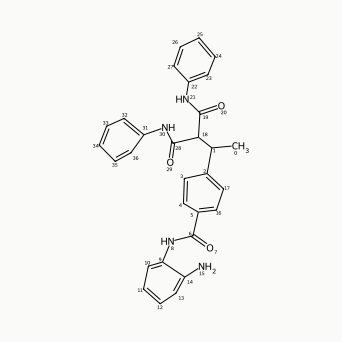 CC(c1ccc(C(=O)Nc2ccccc2N)cc1)C(C(=O)Nc1ccccc1)C(=O)Nc1ccccc1